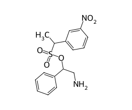 CC(c1cccc([N+](=O)[O-])c1)S(=O)(=O)OC(CN)c1ccccc1